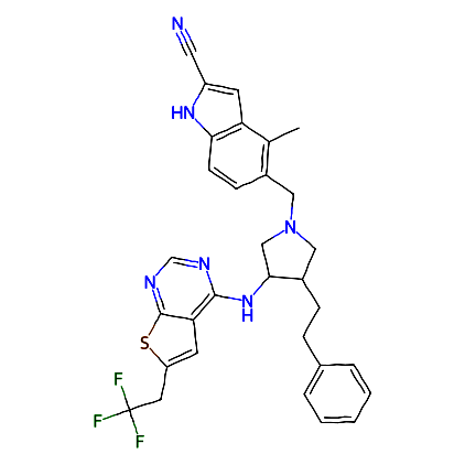 Cc1c(CN2CC(CCc3ccccc3)C(Nc3ncnc4sc(CC(F)(F)F)cc34)C2)ccc2[nH]c(C#N)cc12